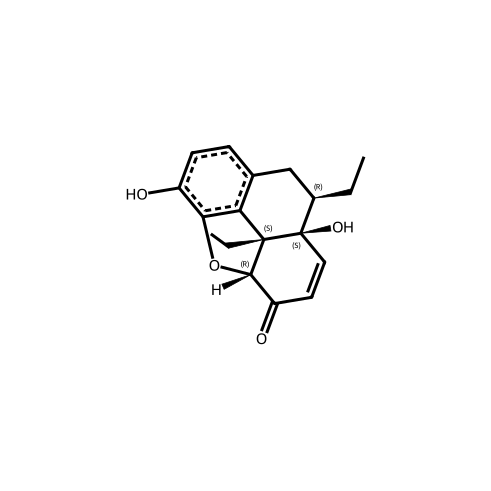 CC[C@@H]1Cc2ccc(O)c3c2[C@@]2(CC)[C@@H](O3)C(=O)C=C[C@@]12O